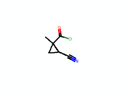 CC1(C(=O)Cl)CC1C#N